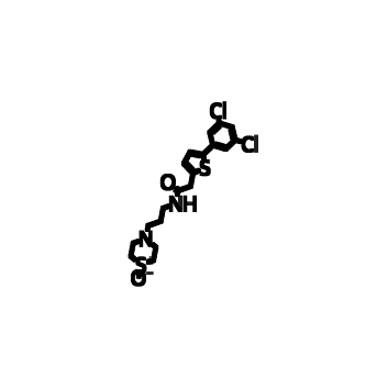 O=C(Cc1ccc(-c2cc(Cl)cc(Cl)c2)s1)NCCCN1CC[S+]([O-])CC1